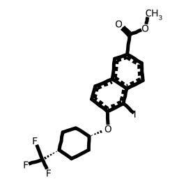 COC(=O)c1ccc2c(I)c(O[C@H]3CC[C@@H](C(F)(F)F)CC3)ccc2c1